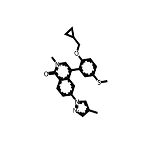 CSc1ccc(OCC2CC2)c(-c2cn(C)c(=O)c3ccc(-n4cc(C)cn4)cc23)c1